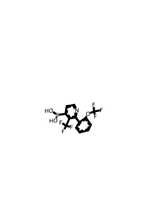 OB(O)c1ccnc(-c2ccccc2OC(F)(F)F)c1C(F)(F)F